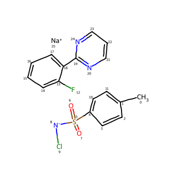 Cc1ccc(S(=O)(=O)[N-]Cl)cc1.Fc1ccccc1-c1ncccn1.[Na+]